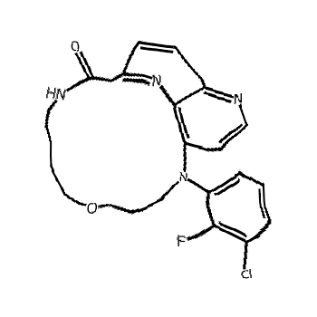 O=C1NCCCOCCN(c2cccc(Cl)c2F)c2ccnc3ccc1nc23